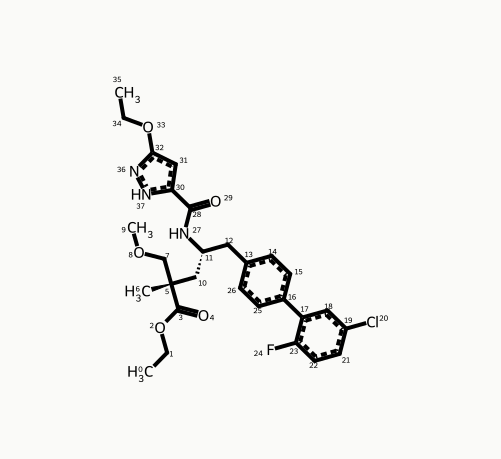 CCOC(=O)[C@](C)(COC)C[C@@H](Cc1ccc(-c2cc(Cl)ccc2F)cc1)NC(=O)c1cc(OCC)n[nH]1